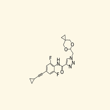 O=C(Nc1c(F)cc(C#CC2CC2)cc1F)c1cn(CC2OCC3(CC3)CO2)nn1